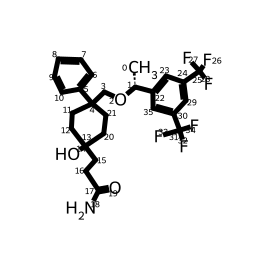 C[C@@H](OCC1(c2ccccc2)CCC(O)(CCC(N)=O)CC1)c1cc(C(F)(F)F)cc(C(F)(F)F)c1